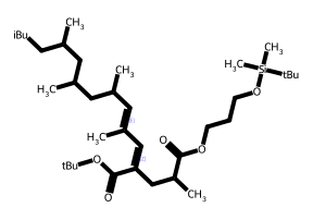 CCC(C)CC(C)CC(C)CC(C)/C=C(C)/C=C(/CC(C)C(=O)OCCCO[Si](C)(C)C(C)(C)C)C(=O)OC(C)(C)C